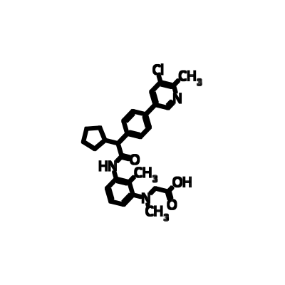 Cc1ncc(-c2ccc(C(C(=O)Nc3cccc(N(C)CC(=O)O)c3C)C3CCCC3)cc2)cc1Cl